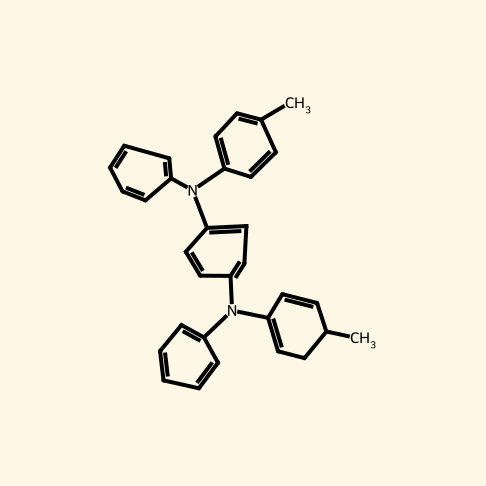 Cc1ccc(N(c2ccccc2)c2ccc(N(C3=CCC(C)C=C3)c3ccccc3)cc2)cc1